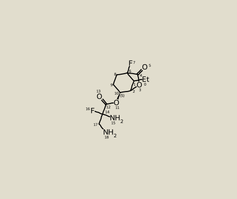 CCC1C2OC(=O)C1(F)CC[C@@H]2OC(=O)C(N)(F)CN